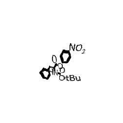 CC(C)(C)OC(=O)N[C@@H](Cc1ccccc1)C(=O)Oc1ccc([N+](=O)[O-])cc1